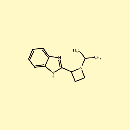 CC(C)N1CCC1c1nc2ccccc2[nH]1